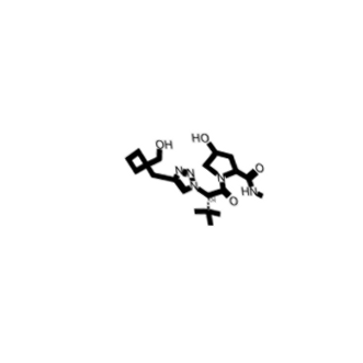 CNC(=O)C1CC(O)CN1C(=O)[C@@H](n1cc(CC2(CO)CCC2)nn1)C(C)(C)C